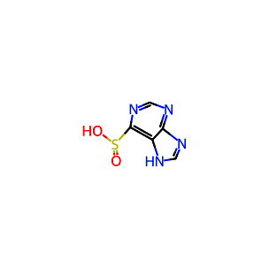 O=S(O)c1ncnc2nc[nH]c12